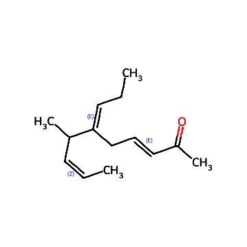 C/C=C\C(C)/C(=C/CC)C/C=C/C(C)=O